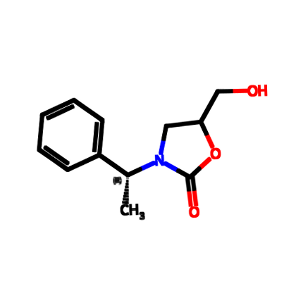 C[C@H](c1ccccc1)N1CC(CO)OC1=O